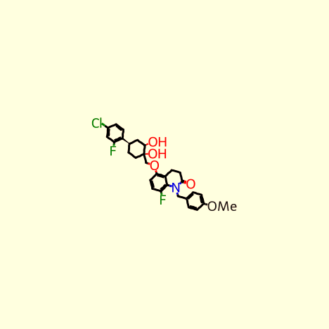 COc1ccc(CN2C(=O)CCc3c(OC[C@]4(O)CC[C@@H](c5ccc(Cl)cc5F)C[C@H]4O)ccc(F)c32)cc1